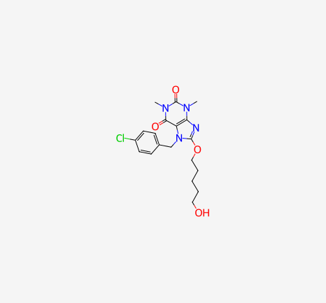 Cn1c(=O)c2c(nc(OCCCCCO)n2Cc2ccc(Cl)cc2)n(C)c1=O